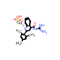 CS(=O)(=O)O.Cc1cc(C)c(-c2cc(C(=O)NC(=N)N)c3ccccc3n2)c(C)c1